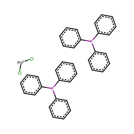 [Cl][Pd-2][Cl].c1ccc(P(c2ccccc2)c2ccccc2)cc1.c1ccc(P(c2ccccc2)c2ccccc2)cc1